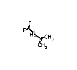 CN(C)S.FC(F)F